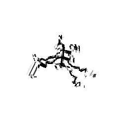 CCCCCCOC(CC(=O)O)(C(=O)O)C(CCCCCC)(CCCCCC)C(=O)OCCCC